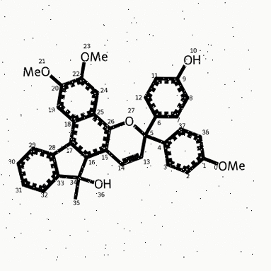 COc1ccc(C2(c3ccc(O)cc3)C=Cc3c4c(c5cc(OC)c(OC)cc5c3O2)-c2ccccc2C4(C)O)cc1